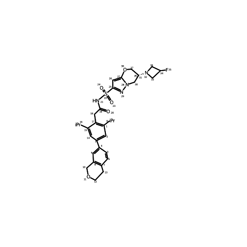 CC(C)c1cc(-c2ccc3c(c2)COCC3)cc(C(C)C)c1CC(=O)NS(=O)(=O)c1cc2n(n1)C[C@@H](N1CC(F)C1)CO2